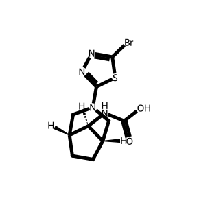 O=C(O)N[C@@H]1[C@@H]2CC[C@H]1CN(c1nnc(Br)s1)C2